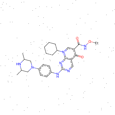 CCONC(=O)c1cn(C2CCCCC2)c2nc(Nc3ccc(N4CC(C)NC(C)C4)cc3)ncc2c1=O